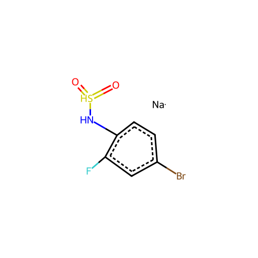 O=[SH](=O)Nc1ccc(Br)cc1F.[Na]